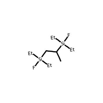 CC[Si](F)(CC)CC(C)[Si](F)(CC)CC